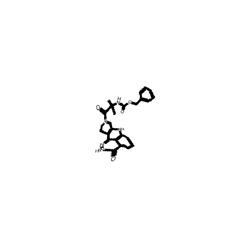 CC(C)(NC(=O)OCc1ccccc1)C(=O)N1CCC2=C(C1)Nc1cccc3c(=O)[nH]nc2c13